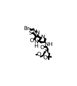 COCC1CN(CC(=O)Nc2cnc3c(c2)[nH]c(=O)c2c3nn3cc(Br)sc23)CC(C)(C)O1